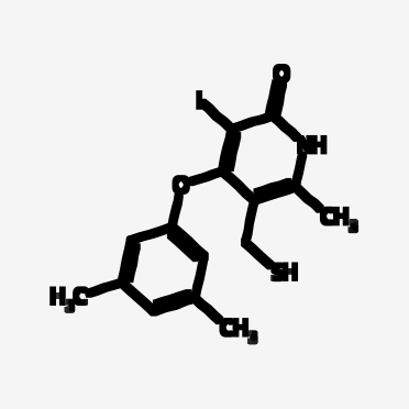 Cc1cc(C)cc(Oc2c(CS)c(C)[nH]c(=O)c2I)c1